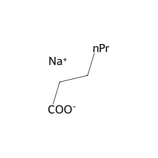 CCCCCC(=O)[O-].[Na+]